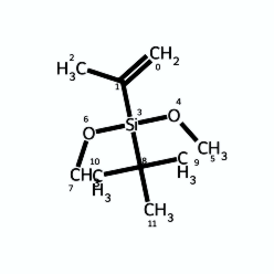 C=C(C)[Si](OC)(OC)C(C)(C)C